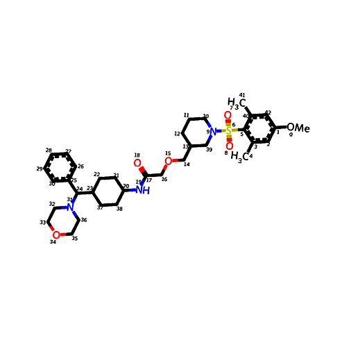 COc1cc(C)c(S(=O)(=O)N2CCCC(COCC(=O)NC3CCC(C(c4ccccc4)N4CCOCC4)CC3)C2)c(C)c1